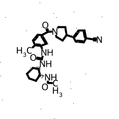 CC(=O)N[C@@H]1CCCC[C@@H]1NC(=O)Nc1cc(C(=O)N2CCC(c3ccc(C#N)cc3)CC2)ccc1C